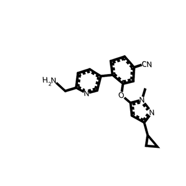 Cn1nc(C2CC2)cc1Oc1cc(C#N)ccc1-c1ccc(CN)nc1